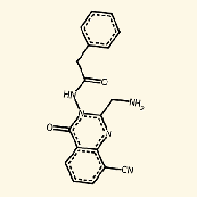 N#Cc1cccc2c(=O)n(NC(=O)Cc3ccccc3)c(CN)nc12